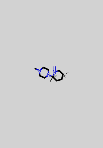 C[C@@H]1CC[C@](C)(N2CCN(C)CC2)NC1